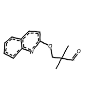 CC(C)([C]=O)COc1ccc2ccccc2n1